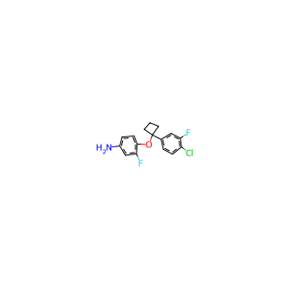 Nc1ccc(OC2(c3ccc(Cl)c(F)c3)CCC2)c(F)c1